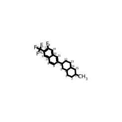 CC1CCC2CC(c3ccc4cc(C(F)(F)F)c(F)cc4c3)CCC2C1